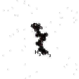 CC1(C)c2ccccc2-c2ccc(-n3c4ccccc4c4cc(-c5ccc6c(c5)c5ccccc5n6-c5ccc(-c6nc(-c7ccccc7)nc7c6-c6ccc(-c8ccc(-n9c%10ccccc%10c%10cc(-c%11ccc%12c(c%11)c%11ccccc%11n%12-c%11ccc%12c(c%11)C(C)(C)c%11ccccc%11-%12)ccc%109)cc8)c8cccc-7c68)cc5)ccc43)cc21